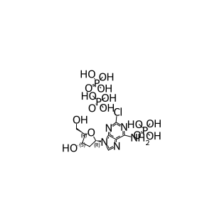 Nc1nc(Cl)nc2c1ncn2[C@H]1C[C@H](O)[C@@H](CO)O1.O=P(O)(O)O.O=P(O)(O)O.O=P(O)(O)O